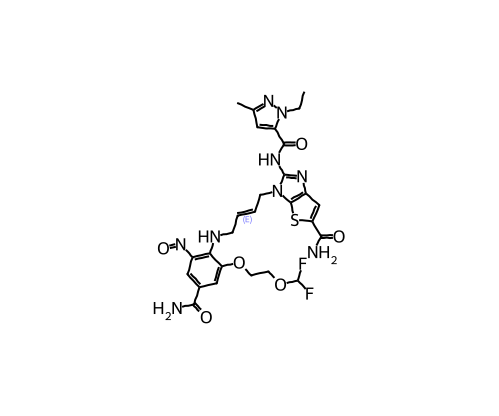 CCn1nc(C)cc1C(=O)Nc1nc2cc(C(N)=O)sc2n1C/C=C/CNc1c(N=O)cc(C(N)=O)cc1OCCOC(F)F